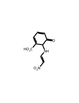 O=C(O)C1=CC=CC(=O)C1NC=C[N+](=O)[O-]